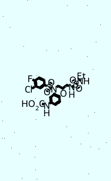 CCNS(=O)(=O)NCC1CN(S(=O)(=O)c2ccc(F)c(Cl)c2)c2cc(NC(=O)O)ccc2O1